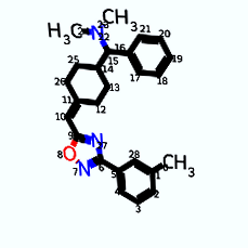 Cc1cccc(-c2noc(C=C3CCC(C(c4ccccc4)N(C)C)CC3)n2)c1